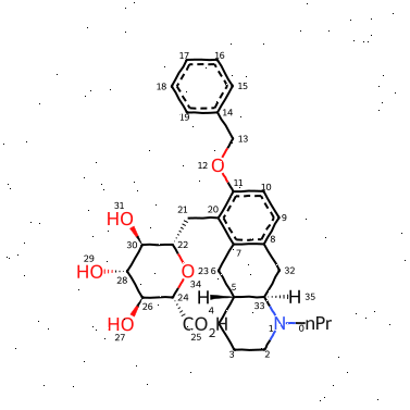 CCCN1CCC[C@@H]2Cc3c(ccc(OCc4ccccc4)c3C[C@@H]3O[C@H](C(=O)O)[C@@H](O)[C@H](O)[C@H]3O)C[C@H]21